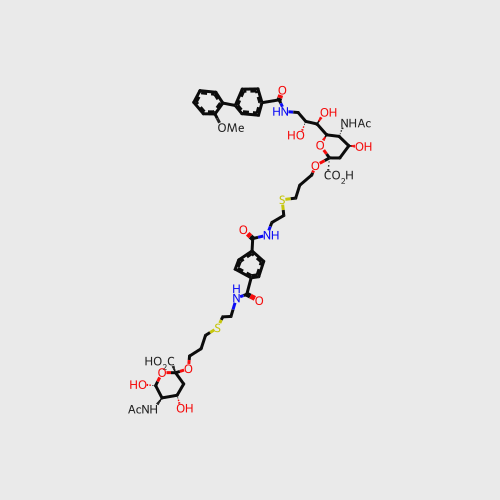 COc1ccccc1-c1ccc(C(=O)NC[C@@H](O)[C@@H](O)[C@@H]2O[C@@](OCCCSCCNC(=O)c3ccc(C(=O)NCCSCCCO[C@]4(C(=O)O)C[C@H](O)[C@@H](NC(C)=O)[C@H](O)O4)cc3)(C(=O)O)C[C@H](O)[C@H]2NC(C)=O)cc1